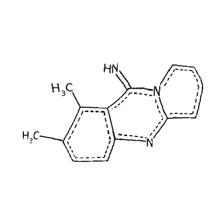 Cc1ccc2nc3ccccn3c(=N)c2c1C